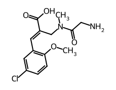 COc1ccc(Cl)cc1/C=C(\CN(C)C(=O)CN)C(=O)O